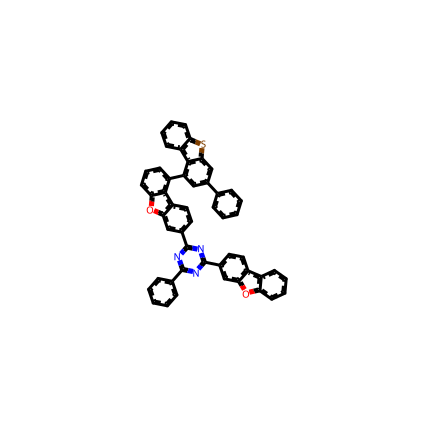 c1ccc(-c2cc(-c3cccc4oc5cc(-c6nc(-c7ccccc7)nc(-c7ccc8c(c7)oc7ccccc78)n6)ccc5c34)c3c(c2)sc2ccccc23)cc1